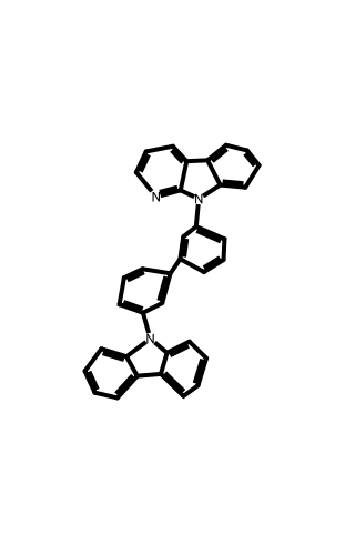 c1cc(-c2cccc(-n3c4ccccc4c4cccnc43)c2)cc(-n2c3ccccc3c3ccccc32)c1